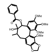 COc1cc2c(c(OC)c1OC)-c1c(cc3c(c1OC)OCO3)CC(C)C(C)(O)C2OC(=O)c1ccccc1